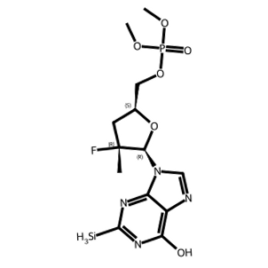 COP(=O)(OC)OC[C@@H]1C[C@@](C)(F)[C@H](n2cnc3c(O)nc([SiH3])nc32)O1